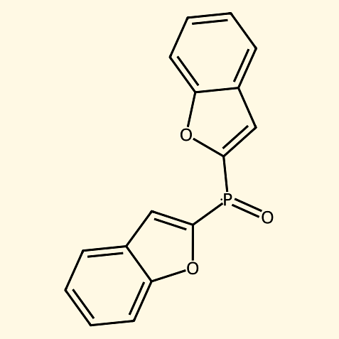 O=[P](c1cc2ccccc2o1)c1cc2ccccc2o1